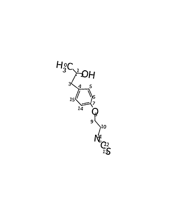 C[C](O)Cc1ccc(OCCN=C=S)cc1